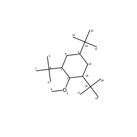 COC1C(C(C)(C)C)CC(C(C)(C)C)CC1C(C)(C)C